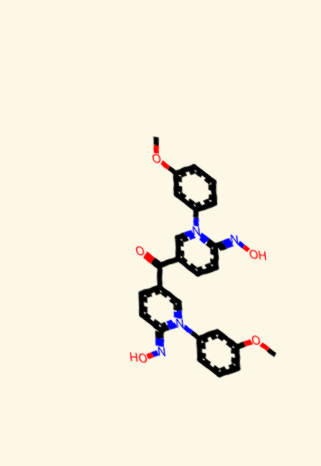 COc1cccc(-n2cc(C(=O)c3ccc(=NO)n(-c4cccc(OC)c4)c3)ccc2=NO)c1